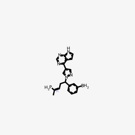 Bc1cccc(C(C/C=C(/C)P)n2cc(-c3ncnc4[nH]ccc34)cn2)c1